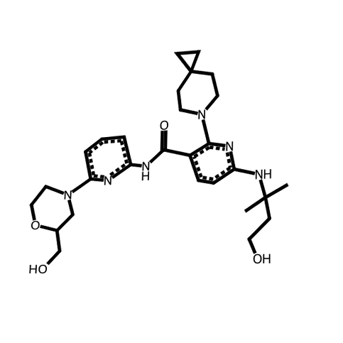 CC(C)(CCO)Nc1ccc(C(=O)Nc2cccc(N3CCOC(CO)C3)n2)c(N2CCC3(CC2)CC3)n1